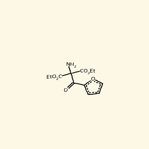 CCOC(=O)C(N)(C(=O)OCC)C(=O)c1ccco1